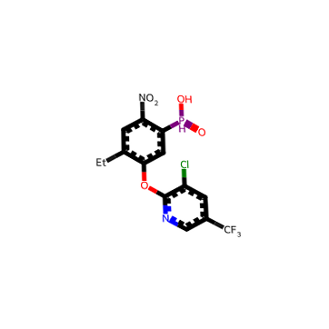 CCc1cc([N+](=O)[O-])c([PH](=O)O)cc1Oc1ncc(C(F)(F)F)cc1Cl